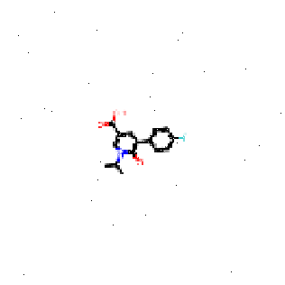 CC(C)n1cc(C(=O)O)cc(-c2ccc(F)cc2)c1=O